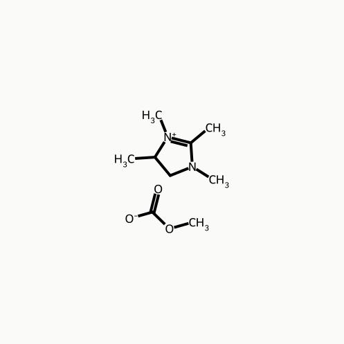 CC1=[N+](C)C(C)CN1C.COC(=O)[O-]